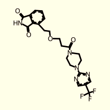 O=C1NC(=O)c2c(CCOCCC(=O)N3CCN(c4ncc(C(F)(F)F)cn4)CC3)cccc21